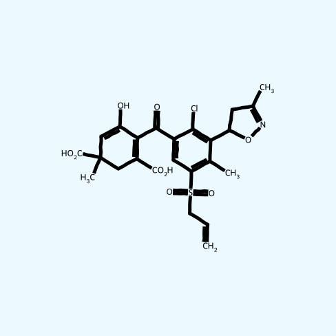 C=CCS(=O)(=O)c1cc(C(=O)C2=C(C(=O)O)CC(C)(C(=O)O)C=C2O)c(Cl)c(C2CC(C)=NO2)c1C